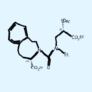 CCCCCCCCCC[C@@H](CN(CC)C(=O)N1Cc2ccccc2C[C@H]1C(=O)O)C(=O)OCC